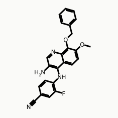 COc1ccc2c(Nc3ccc(C#N)cc3F)c(N)cnc2c1OCc1ccccc1